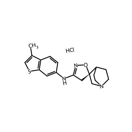 Cc1csc2cc(NC3=NO[C@@]4(C3)CN3CCC4CC3)ccc12.Cl